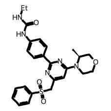 CCNC(=O)Nc1ccc(-c2nc(CS(=O)(=O)c3ccccc3)cc(N3CCOC[C@@H]3C)n2)cc1